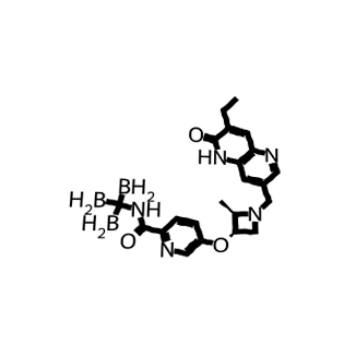 BC(B)(B)NC(=O)c1ccc(O[C@H]2CN(Cc3cnc4cc(CC)c(=O)[nH]c4c3)[C@@H]2C)cn1